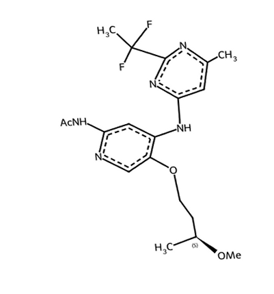 CO[C@@H](C)CCOc1cnc(NC(C)=O)cc1Nc1cc(C)nc(C(C)(F)F)n1